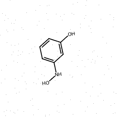 ONc1cccc(O)c1